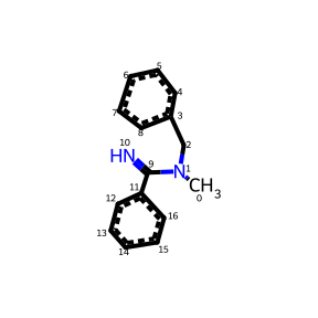 CN(Cc1ccccc1)C(=N)c1ccccc1